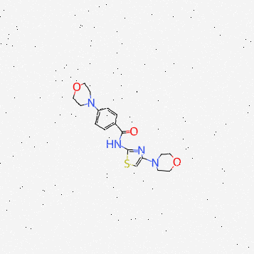 O=C(Nc1nc(N2CCOCC2)cs1)c1ccc(N2CCOCC2)cc1